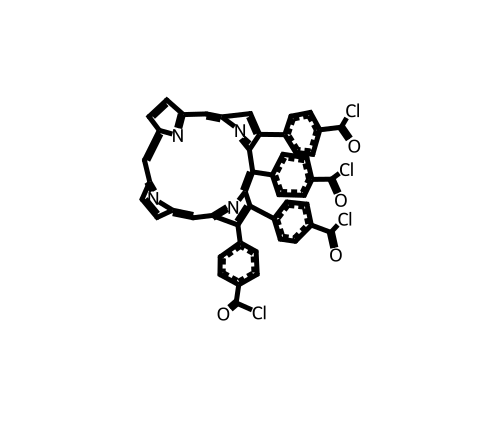 O=C(Cl)c1ccc(C2=CC3=CC4=NC(=CC5=NC(=CC6=NC(=C(c7ccc(C(=O)Cl)cc7)C2=N3)C(c2ccc(C(=O)Cl)cc2)=C6c2ccc(C(=O)Cl)cc2)C=C5)C=C4)cc1